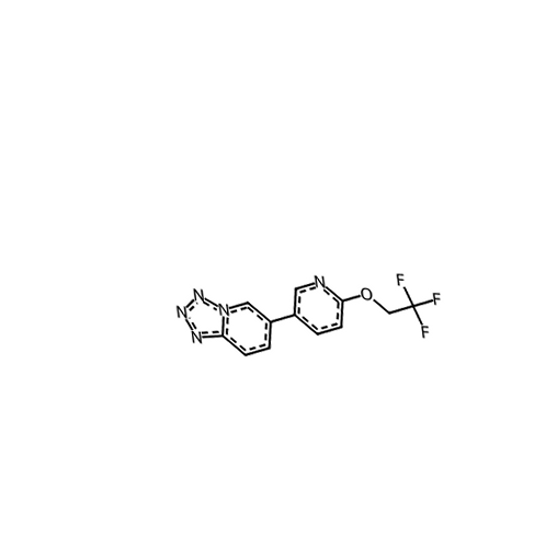 FC(F)(F)COc1ccc(-c2ccc3nnnn3c2)cn1